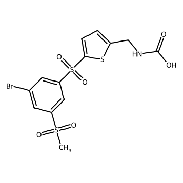 CS(=O)(=O)c1cc(Br)cc(S(=O)(=O)c2ccc(CNC(=O)O)s2)c1